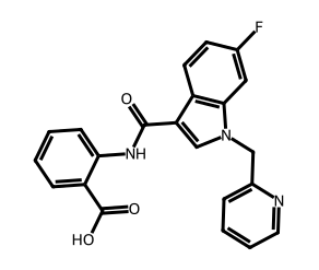 O=C(O)c1ccccc1NC(=O)c1cn(Cc2ccccn2)c2cc(F)ccc12